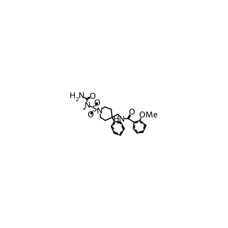 COc1ccccc1C(=O)NCC1(c2ccccc2)CCN(S(=O)(=O)N(C)C(N)=O)CC1